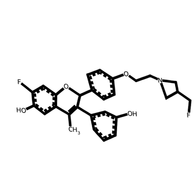 CC1=C(c2cccc(O)c2)C(c2ccc(OCCN3CC(CF)C3)cc2)Oc2cc(F)c(O)cc21